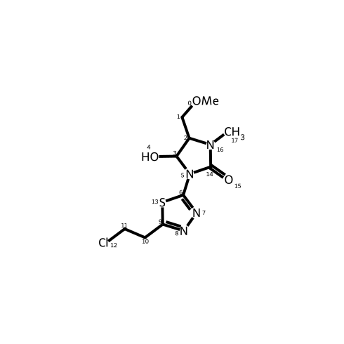 COCC1C(O)N(c2nnc(CCCl)s2)C(=O)N1C